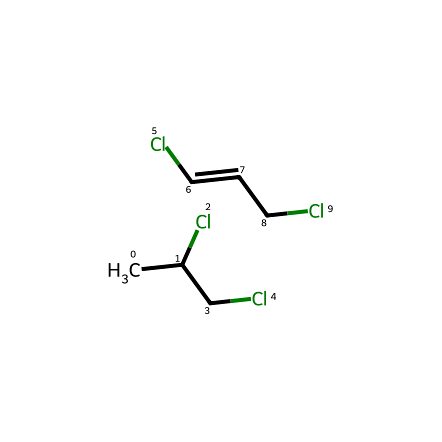 CC(Cl)CCl.ClC=CCCl